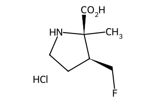 C[C@@]1(C(=O)O)NCC[C@@H]1CF.Cl